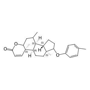 Cc1ccc(OC2CC[C@H]3[C@@H]4C(C)CC5OC(=O)C=C[C@]5(C)[C@@H]4CC[C@]23C)cc1